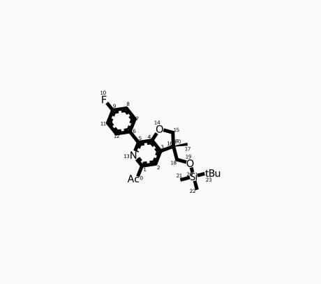 CC(=O)c1cc2c(c(-c3ccc(F)cc3)n1)OC[C@]2(C)CO[Si](C)(C)C(C)(C)C